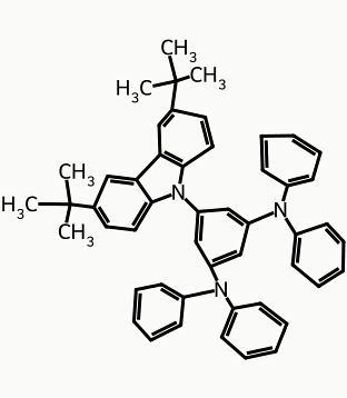 CC(C)(C)c1ccc2c(c1)c1cc(C(C)(C)C)ccc1n2-c1cc(N(c2ccccc2)c2ccccc2)cc(N(c2ccccc2)c2ccccc2)c1